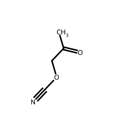 CC(=O)COC#N